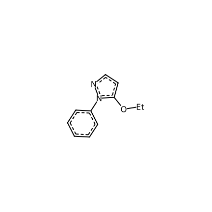 CCOc1ccnn1-c1ccccc1